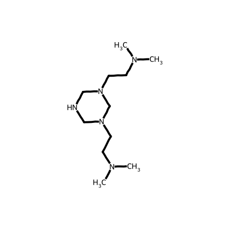 CN(C)CCN1CNCN(CCN(C)C)C1